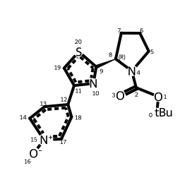 CC(C)(C)OC(=O)N1CCC[C@@H]1c1nc(-c2cc[n+]([O-])cc2)cs1